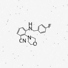 N#Cc1cccc(NCc2ccc(F)cc2)c1N1CCOCC1